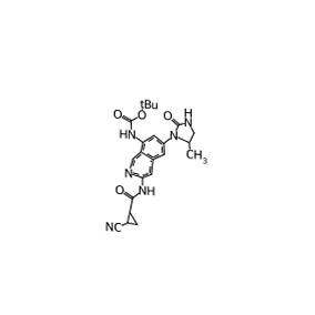 CC1CNC(=O)N1c1cc(NC(=O)OC(C)(C)C)c2cnc(NC(=O)C3CC3C#N)cc2c1